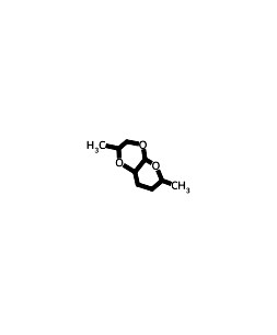 CC1COC2OC(C)CCC2O1